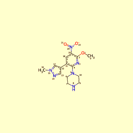 COc1nc(N2CCNCC2)c(-c2cnn(C)c2)cc1[N+](=O)[O-]